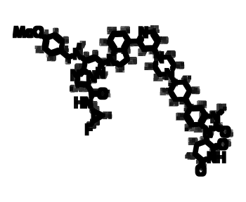 COc1ccc(CN(C)c2cc(N3CCc4c(-c5cc(N6CCN(C7CCC(c8ccc9c(c8)n(C)c(=O)n9C8CCC(=O)NC8=O)CC7)CC6)ccn5)cccc43)nn3c(C(=O)N[C@@H]4C[C@@H]4F)cnc23)cc1